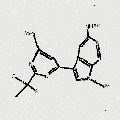 CNc1cc(-c2cn(C(C)C)c3cnc(NC(C)=O)cc23)nc(C(C)(F)F)n1